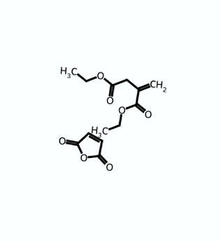 C=C(CC(=O)OCC)C(=O)OCC.O=C1C=CC(=O)O1